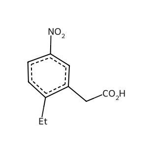 CCc1ccc([N+](=O)[O-])cc1CC(=O)O